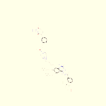 COc1cc2c(NC(C)c3cccc(C(F)(F)CO)c3)nc(C)nc2c(CCCCN2CCN(C(=O)COc3cccc(C4CCC(=O)NC4=O)c3)CC2)c1OC